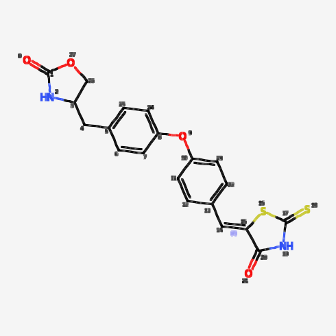 O=C1NC(Cc2ccc(Oc3ccc(/C=C4\SC(=S)NC4=O)cc3)cc2)CO1